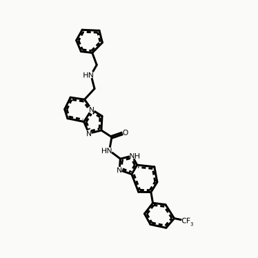 O=C(Nc1nc2cc(-c3cccc(C(F)(F)F)c3)ccc2[nH]1)c1cn2c(CNCc3ccccc3)cccc2n1